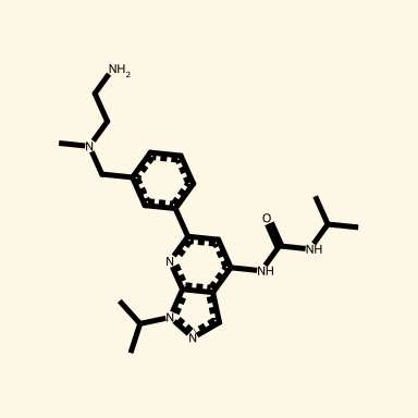 CC(C)NC(=O)Nc1cc(-c2cccc(CN(C)CCN)c2)nc2c1cnn2C(C)C